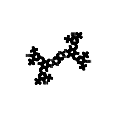 Cc1c(Cc2cc(C(C)(C)C)c(O)c(C(C)(C)C)c2)c(C)c(OP2OCC3(CO2)COP(Oc2c(C)c(Cc4cc(C(C)(C)C)c(O)c(C(C)(C)C)c4)c(C)c(Cc4cc(C(C)(C)C)c(O)c(C(C)(C)C)c4)c2C)OC3)c(C)c1Cc1cc(C(C)(C)C)c(O)c(C(C)(C)C)c1